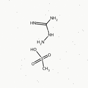 CS(=O)(=O)O.N=C(N)NN